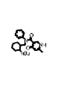 CCCCC1CCCCC1CN(C(=O)c1c[nH]c(C)cc1=O)c1ccccc1